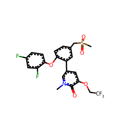 Cn1cc(-c2cc(CS(C)(=O)=O)ccc2Oc2ccc(F)cc2F)cc(OCC(F)(F)F)c1=O